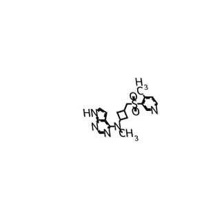 Cc1ccncc1S(=O)(=O)CC1CC(N(C)c2ncnc3[nH]ccc23)C1